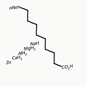 CCCCCCCCCCCCCCCCCC(=O)O.[AlH3].[CaH2].[MgH2].[NaH].[Zn]